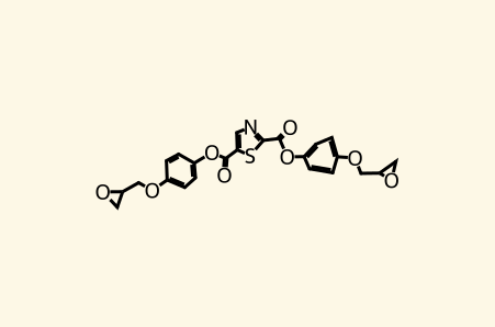 O=C(Oc1ccc(OCC2CO2)cc1)c1cnc(C(=O)Oc2ccc(OCC3CO3)cc2)s1